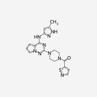 Cc1cc(Nc2nc(N3CCN(C(=O)c4ccns4)CC3)nn3cccc23)n[nH]1